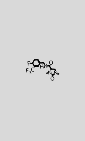 CN1CC(C(=O)NCC2=CCC(F)C(C(F)(F)F)=C2)N(C)C1=O